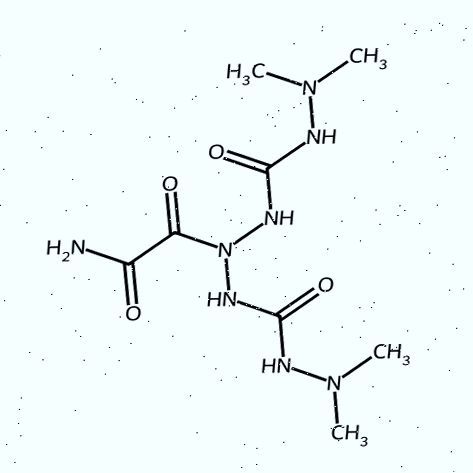 CN(C)NC(=O)NN(NC(=O)NN(C)C)C(=O)C(N)=O